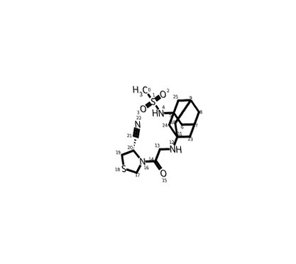 CS(=O)(=O)NC12CC3CC(CC(NCC(=O)N4CSC[C@@H]4C#N)(C3)C1)C2